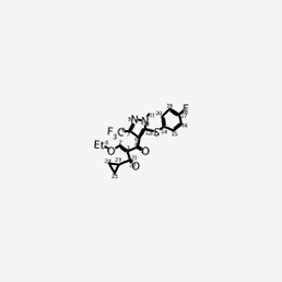 CCO/C=C(/C(=O)c1c(C(F)(F)F)nn(C)c1Sc1ccc(F)cc1)C(=O)C1CC1